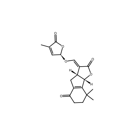 CC1=C[C@H](O/C=C2/C(=O)O[C@@H]3C4=C(C[C@H]23)C(=O)CCC4(C)C)OC1=O